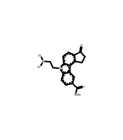 CCN(CC)CCn1c2ccc(C(=O)NC)cc2c2c3c(ccc21)C(=O)CC3